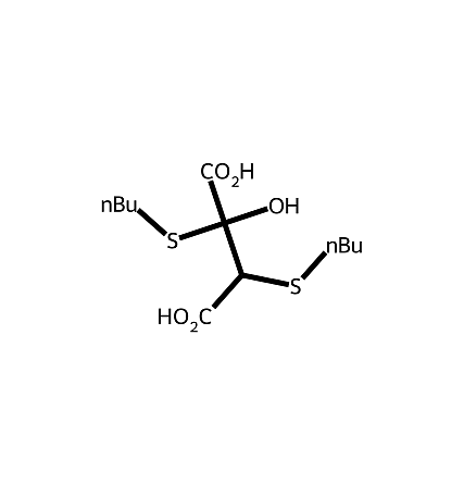 CCCCSC(C(=O)O)C(O)(SCCCC)C(=O)O